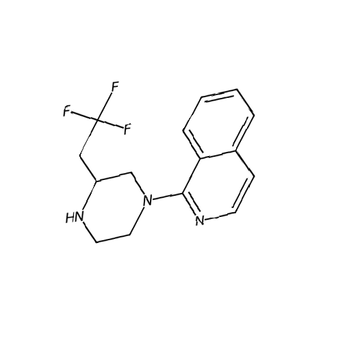 FC(F)(F)CC1CN(c2nccc3ccccc23)CCN1